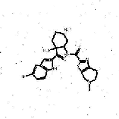 CN1CCc2nc(C(=O)NC3CCCCC3(N)C(=O)c3cc4cc(Br)ccc4[nH]3)sc2C1.Cl